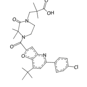 CC(C)(CN1CCN(C(=O)c2cc3nc(-c4ccc(Cl)cc4)cc(C(C)(C)C)c3o2)C(C)(C)C1=O)C(=O)O